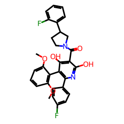 COc1cccc(OC)c1-c1c(-c2ccc(F)cc2)nc(O)c(C(=O)N2CCC(c3ccccc3F)C2)c1O